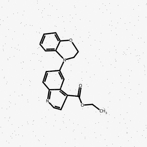 CCOC(=O)c1ccnc2ccc(N3CCOc4ccccc43)cc12